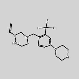 C=C[C@H]1CN(Cc2ccc(N3CCOCC3)cc2C(F)(F)F)CCN1